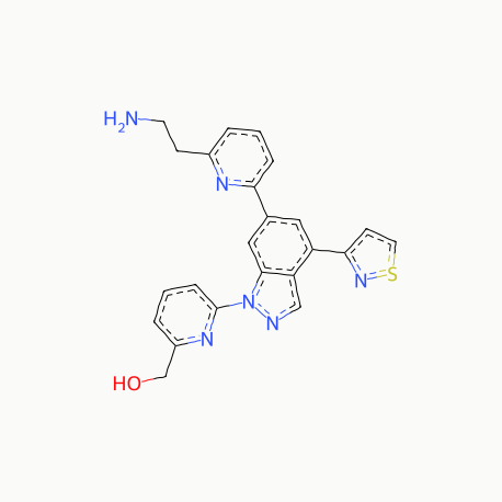 NCCc1cccc(-c2cc(-c3ccsn3)c3cnn(-c4cccc(CO)n4)c3c2)n1